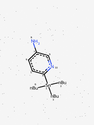 CCC[CH2][Sn]([CH2]CCC)([CH2]CCC)[c]1ccc(N)cn1